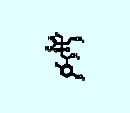 C=CCC(CF)(C(=N)N)S(=O)(=O)C[C@@H](C)c1cc([N+](=O)[O-])ccc1F